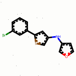 Brc1cccc(-c2cc(Nc3ccoc3)cs2)c1